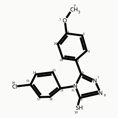 COc1ccc(-c2nnc(S)n2-c2ccc(Cl)cc2)cc1